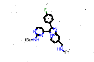 CC(C)NCc1ccn2c(-c3ccnc(NC(C)(C)C)n3)c(-c3ccc(F)cc3)nc2c1